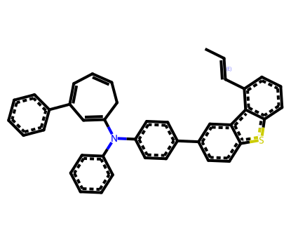 C/C=C/c1cccc2sc3ccc(-c4ccc(N(C5=CC(c6ccccc6)=CC=CC5)c5ccccc5)cc4)cc3c12